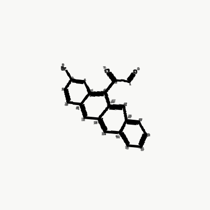 O=CC(=O)c1c2cc(Br)ccc2cc2cc3ccccc3cc12